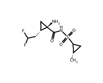 C[C@H]1CC1S(=O)(=O)NC(=O)[C@@]1(N)C[C@H]1CC(F)F